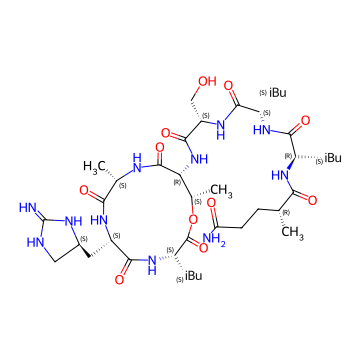 CC[C@H](C)[C@H](NC(=O)[C@H](NC(=O)[C@H](C)CCC(N)=O)[C@@H](C)CC)C(=O)N[C@@H](CO)C(=O)N[C@H]1C(=O)N[C@@H](C)C(=O)N[C@@H](C[C@H]2CNC(=N)N2)C(=O)N[C@@H]([C@@H](C)CC)C(=O)O[C@H]1C